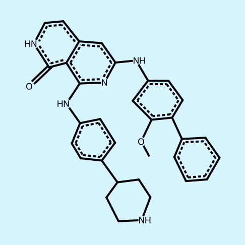 COc1cc(Nc2cc3cc[nH]c(=O)c3c(Nc3ccc(C4CCNCC4)cc3)n2)ccc1-c1ccccc1